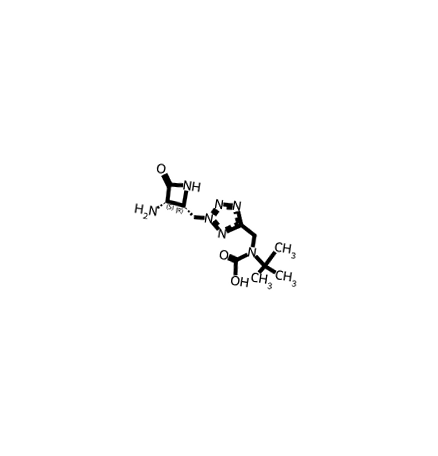 CC(C)(C)N(Cc1nnn(C[C@H]2NC(=O)[C@H]2N)n1)C(=O)O